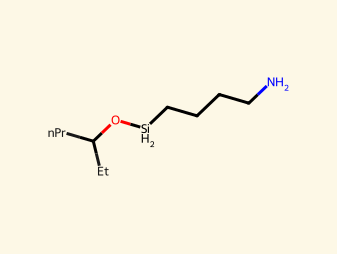 CCCC(CC)O[SiH2]CCCCN